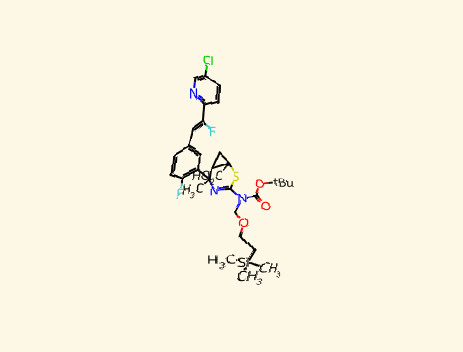 CC(C)(C)OC(=O)N(COCC[Si](C)(C)C)C1=NC(C)(c2cc(C=C(F)c3ccc(Cl)cn3)ccc2F)C2CC2(C(=O)O)S1